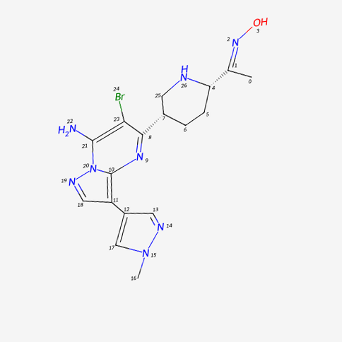 C/C(=N\O)[C@@H]1CC[C@H](c2nc3c(-c4cnn(C)c4)cnn3c(N)c2Br)CN1